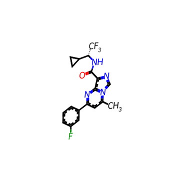 Cc1cc(-c2cccc(F)c2)nc2c(C(=O)N[C@H](C3CC3)C(F)(F)F)ncn12